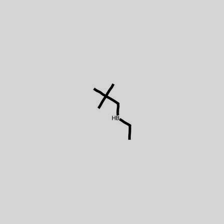 CCBCC(C)(C)C